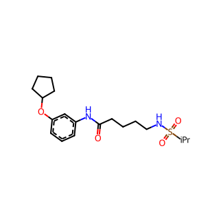 CC(C)S(=O)(=O)NCCCCC(=O)Nc1cccc(OC2CCCC2)c1